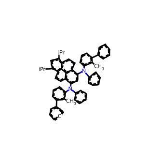 Cc1c(-c2ccccc2)cccc1N(c1ccccc1)c1cc(N(c2ccccc2)c2cccc(-c3ccccc3)c2C)c2ccc3c(C(C)C)cc(C(C)C)c4ccc1c2c43